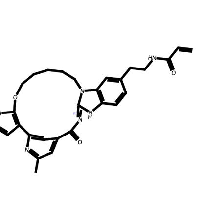 C=CC(=O)NCCc1ccc2c(c1)N1CCCCCOc3c(cnn3C)-c3cc(cc(C)n3)C(=O)/N=C/1N2